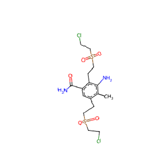 Cc1c(CCS(=O)(=O)CCCl)cc(C(N)=O)c(CCS(=O)(=O)CCCl)c1N